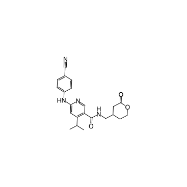 CC(C)c1cc(Nc2ccc(C#N)cc2)ncc1C(=O)NCC1CCOC(=O)C1